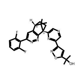 CC(C)(O)c1cc(-c2cncc([C@@]34CC[C@@H](c5cc(-c6c(F)cccc6F)nnc53)C4(C)C)n2)no1